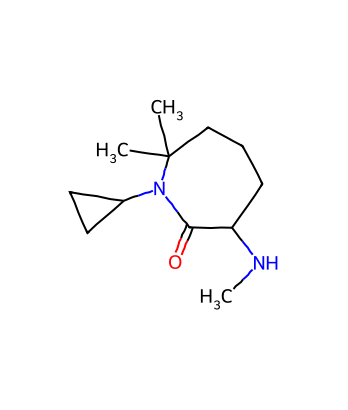 CNC1CCCC(C)(C)N(C2CC2)C1=O